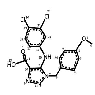 COc1ccc(Cn2nnc(C(=O)O)c2Nc2ccc(Cl)c(Cl)c2)cc1